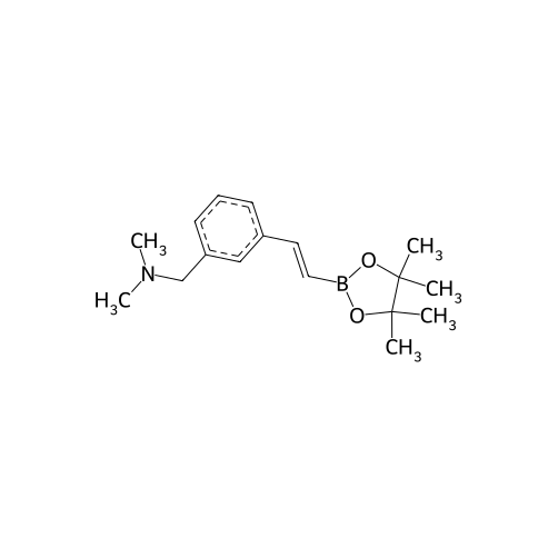 CN(C)Cc1cccc(C=CB2OC(C)(C)C(C)(C)O2)c1